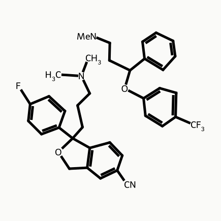 CN(C)CCCC1(c2ccc(F)cc2)OCc2cc(C#N)ccc21.CNCCC(Oc1ccc(C(F)(F)F)cc1)c1ccccc1